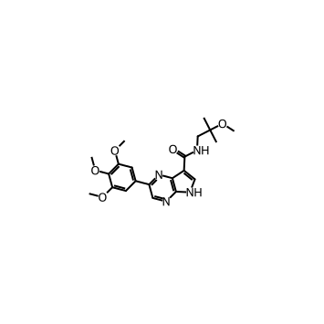 COc1cc(-c2cnc3[nH]cc(C(=O)NCC(C)(C)OC)c3n2)cc(OC)c1OC